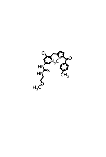 COCCNC(=S)Nc1cnc(Cc2ccc(C(=O)c3ccc(C)cc3)n2C)c(Cl)c1